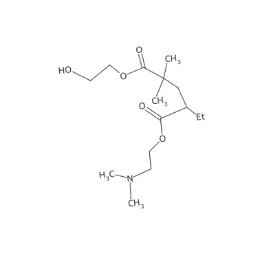 CCC(CC(C)(C)C(=O)OCCO)C(=O)OCCN(C)C